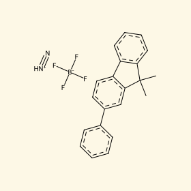 CC1(C)c2ccccc2-c2ccc(-c3ccccc3)cc21.F[B-](F)(F)F.N#[NH+]